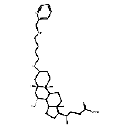 COC(=O)CC[C@@H](C)[C@H]1CCC2C3C(CC[C@@]21C)[C@@]1(C)CC[C@H](NCCCCNCc2ccccn2)C[C@H]1C[C@H]3O